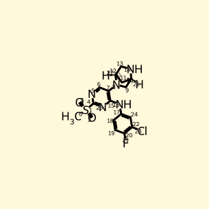 CS(=O)(=O)c1ncc(N2C[C@@H]3C[C@H]2CN3)c(Nc2ccc(F)c(Cl)c2)n1